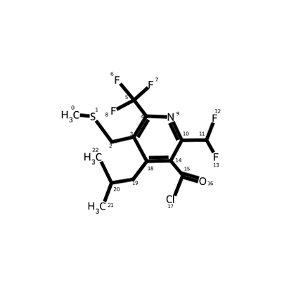 CSCc1c(C(F)(F)F)nc(C(F)F)c(C(=O)Cl)c1CC(C)C